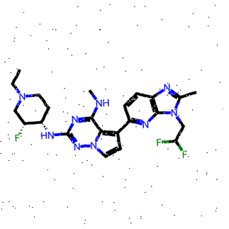 CCN1CC[C@H](Nc2nc(NC)c3c(-c4ccc5nc(C)n(CC(F)F)c5n4)ccn3n2)[C@H](F)C1